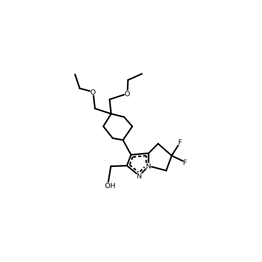 CCOCC1(COCC)CCC(c2c(CO)nn3c2CC(F)(F)C3)CC1